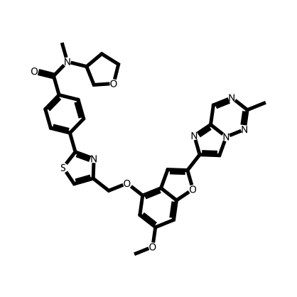 COc1cc(OCc2csc(-c3ccc(C(=O)N(C)C4CCOC4)cc3)n2)c2cc(-c3cn4nc(C)ncc4n3)oc2c1